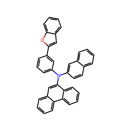 c1cc(-c2cc3ccccc3o2)cc(N(c2ccc3ccccc3c2)c2cc3ccccc3c3ccccc23)c1